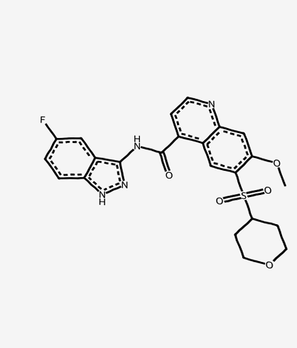 COc1cc2nccc(C(=O)Nc3n[nH]c4ccc(F)cc34)c2cc1S(=O)(=O)C1CCOCC1